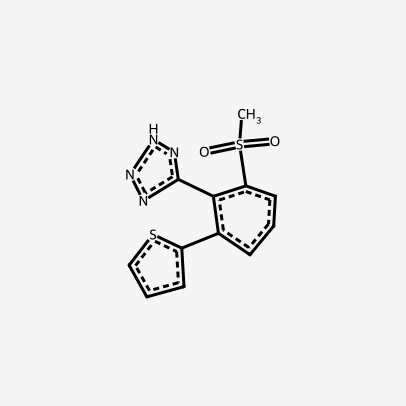 CS(=O)(=O)c1cccc(-c2cccs2)c1-c1nn[nH]n1